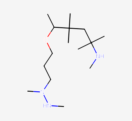 CNN(C)CCCOC(C)C(C)(C)CC(C)(C)NC